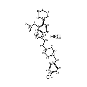 CN(C)Cc1c(N2CCCCC2)ccc2c(CCC3CCN(Cc4ccc(Cl)cc4)CC3)noc12.Cl.Cl